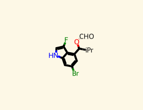 CC(C)C(OC=O)c1cc(Br)cc2[nH]cc(F)c12